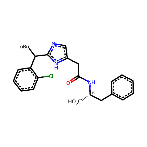 CCCCC(c1ncc(CC(=O)N[C@H](Cc2ccccc2)C(=O)O)[nH]1)c1ccccc1Cl